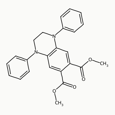 COC(=O)c1cc2c(cc1C(=O)OC)N(c1ccccc1)CCN2c1ccccc1